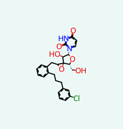 O=c1ccn([C@@H]2O[C@H](CO)[C@@]3(OC3Cc3ccccc3CCCc3cccc(Cl)c3)[C@H]2O)c(=O)[nH]1